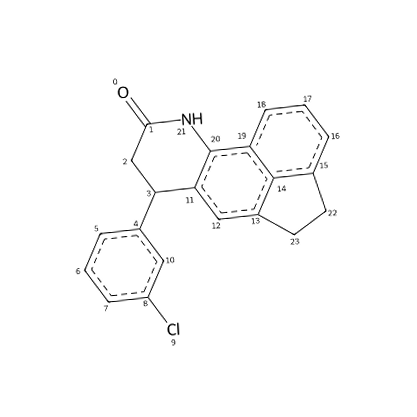 O=C1CC(c2cccc(Cl)c2)c2cc3c4c(cccc4c2N1)CC3